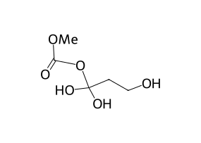 COC(=O)OC(O)(O)CCO